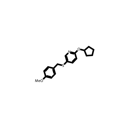 COc1ccc(CSc2ccc(OC3CCCC3)nc2)cc1